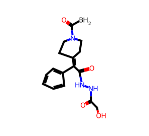 BC(=O)N1CCC(=C(C(=O)NNC(=O)CO)c2ccccc2)CC1